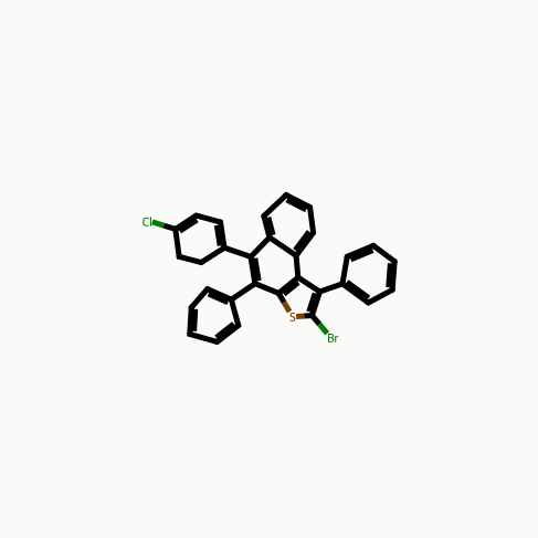 ClC1=CC=C(c2c(-c3ccccc3)c3sc(Br)c(-c4ccccc4)c3c3ccccc23)CC1